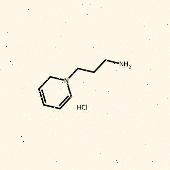 Cl.NCCCN1C=CC=CC1